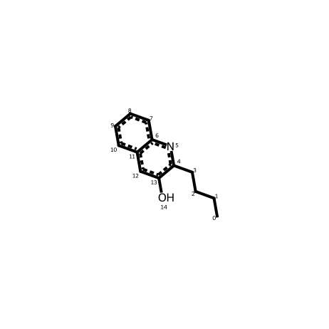 CCCCc1nc2ccccc2cc1O